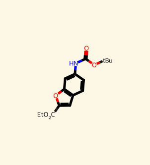 CCOC(=O)c1cc2ccc(NC(=O)OC(C)(C)C)cc2o1